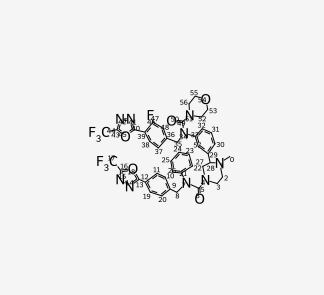 CN1CCN(C(=O)N(Cc2ccc(-c3nnc(C(F)(F)F)o3)cc2)c2ccccc2)CC1c1cccc(N(Cc2ccc(-c3nnc(C(F)(F)F)o3)c(F)c2)C(=O)N2CCOCC2)c1